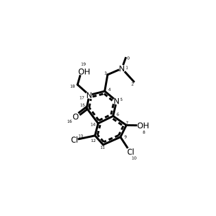 CN(C)Cc1nc2c(O)c(Cl)cc(Cl)c2c(=O)n1CO